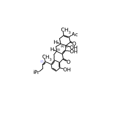 CC(=O)C1=C(C)C[C@H]2C[C@H]3Cc4c(/C(C)=C\CC(C)C)ccc(O)c4C(=O)C3=C(O)[C@@]2(O)C1=O